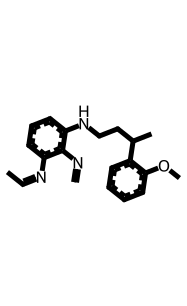 C=Nc1c(/N=C\C)cccc1NCCC(C)c1ccccc1OC